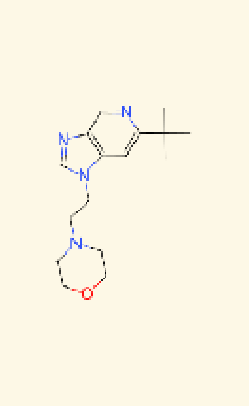 CC(C)(C)c1cc2c(cn1)ncn2CCN1CCOCC1